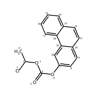 CC(Cl)OC(=O)Oc1ccc2ccc3ccccc3c2c1